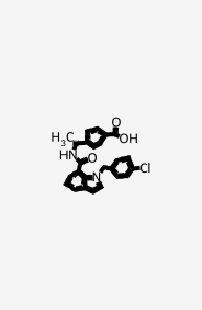 C[C@@H](NC(=O)c1cccc2ccn(Cc3ccc(Cl)cc3)c12)c1ccc(C(=O)O)cc1